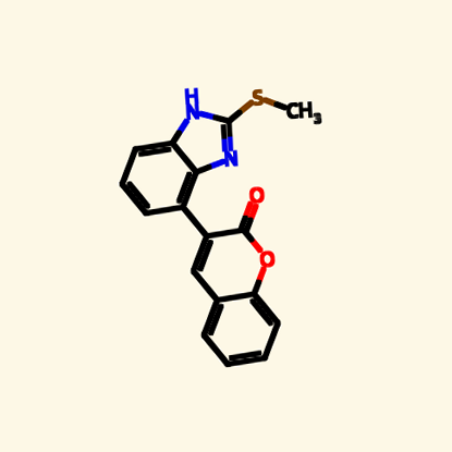 CSc1nc2c(-c3cc4ccccc4oc3=O)cccc2[nH]1